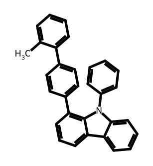 Cc1ccccc1-c1ccc(-c2cccc3c4ccccc4n(-c4ccccc4)c23)cc1